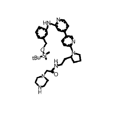 CC(C)(C)[Si](C)(C)OCc1cccc(Nc2cc(-c3ccc(N4CCCC4CCNC(=O)CN4CCNCC4)nc3)ccn2)c1